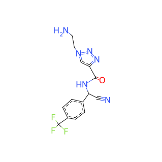 N#CC(NC(=O)c1cn(CCN)nn1)c1ccc(C(F)(F)F)cc1